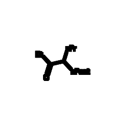 CCCCCC(CCC)C(=O)CC